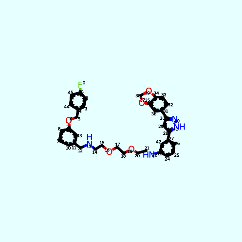 Fc1ccc(COc2cccc(CNCCOCCOCCNc3cccc(-c4cc(-c5ccc6c(c5)OCO6)n[nH]4)c3)c2)cc1